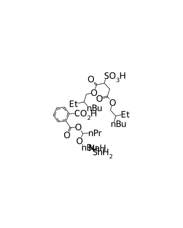 CCCCC(CC)COC(=O)CC(C(=O)OCC(CC)CCCC)S(=O)(=O)O.CCCCOC(CCC)OC(=O)c1ccccc1C(=O)O.[NaH].[SnH2]